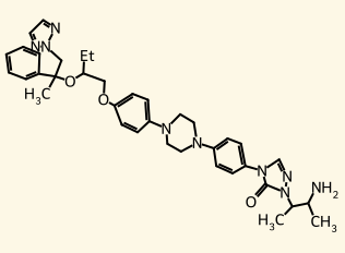 CCC(COc1ccc(N2CCN(c3ccc(-n4cnn(C(C)C(C)N)c4=O)cc3)CC2)cc1)OC(C)(Cn1nccn1)c1ccccc1